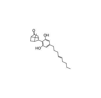 CCCCC=CCCCc1cc(O)c(C2CC(=O)C3CC2C3(C)C)c(O)c1